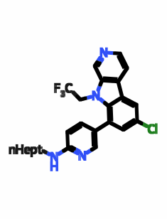 CCCCCCCNc1ccc(-c2cc(Cl)cc3c4ccncc4n(CC(F)(F)F)c23)cn1